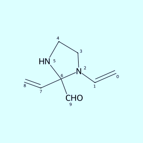 C=CN1CCNC1(C=C)C=O